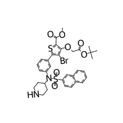 COC(=O)c1sc(-c2cccc(N(C3CCNCC3)S(=O)(=O)c3ccc4ccccc4c3)c2)c(Br)c1OCC(=O)OC(C)(C)C